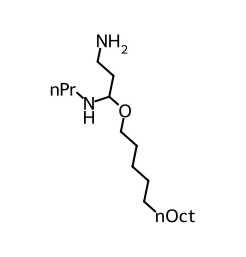 CCCCCCCCCCCCCOC(CCN)NCCC